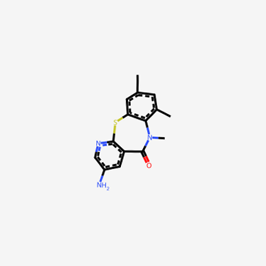 Cc1cc(C)c2c(c1)Sc1ncc(N)cc1C(=O)N2C